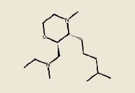 CCN(C)C[C@H]1OCCN(C)[C@@H]1CCCC(C)C